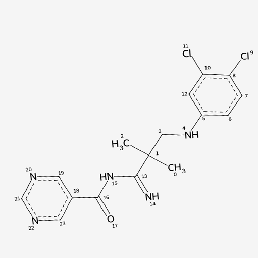 CC(C)(CNc1ccc(Cl)c(Cl)c1)C(=N)NC(=O)c1cncnc1